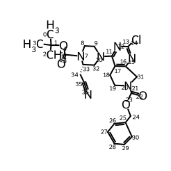 CC(C)(C)OC(=O)N1CCN(c2nc(Cl)nc3c2CCN(C(=O)OCc2ccccc2)C3)C[C@@H]1CC#N